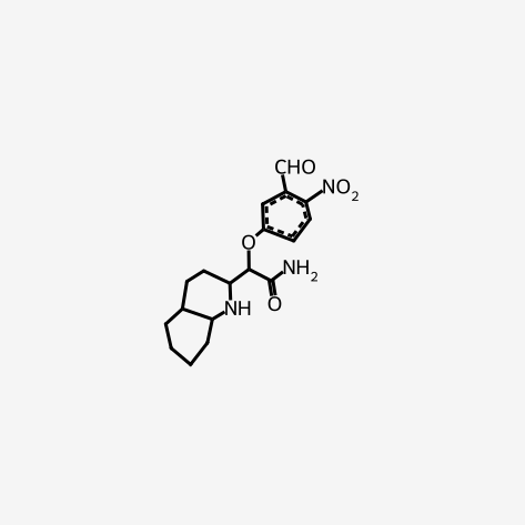 NC(=O)C(Oc1ccc([N+](=O)[O-])c(C=O)c1)C1CCC2CCCCC2N1